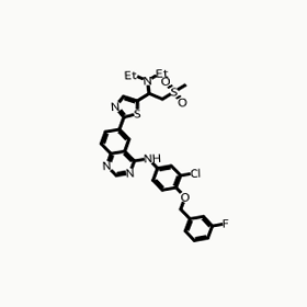 CCN(CC)C(CS(C)(=O)=O)c1cnc(-c2ccc3ncnc(Nc4ccc(OCc5cccc(F)c5)c(Cl)c4)c3c2)s1